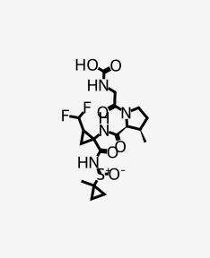 C[C@@H]1CCN(C(=O)CNC(=O)O)[C@@H]1C(=O)NC1(C(=O)N[S+]([O-])C2(C)CC2)CC1C(F)F